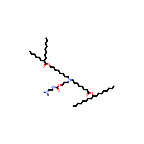 CCCCCCCCC(CCCCCCCC)OC(=O)CCCCCCCN(CCCCCCCCOC(=O)C(CCCCCC)CCCCCCCC)CCCOC(=O)NCCN(C)C